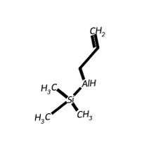 C=C[CH2][AlH][Si](C)(C)C